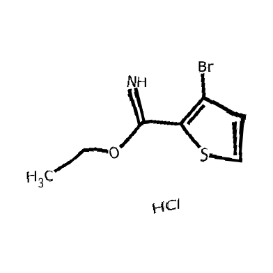 CCOC(=N)c1sccc1Br.Cl